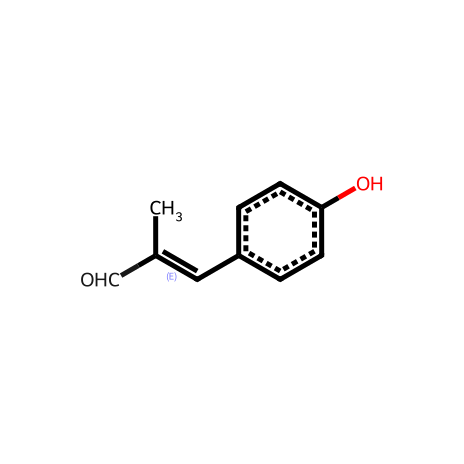 C/C(C=O)=C\c1ccc(O)cc1